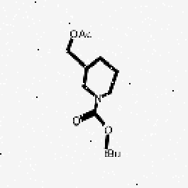 CC(=O)OCC1CCCN(C(=O)OC(C)(C)C)C1